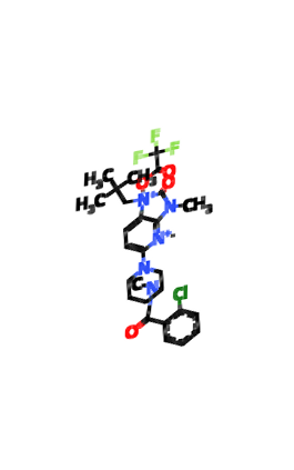 CN1C(=O)[N+](CC(C)(C)C)(OC(=O)C(F)(F)F)C2=CC=C(N3CC4CCC3CN4C(=O)c3ccccc3Cl)[N+]=C21